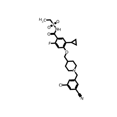 CCS(=O)(=O)NC(=O)c1cc(C2CC2)c(OCC2CCN(Cc3cc(Cl)cc(C#N)c3)CC2)cc1F